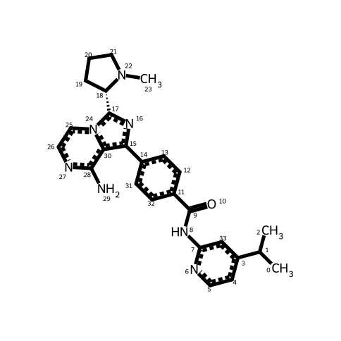 CC(C)c1ccnc(NC(=O)c2ccc(-c3nc([C@@H]4CCCN4C)n4ccnc(N)c34)cc2)c1